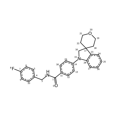 O=C(NCc1ccc(F)cc1)c1ccc(N2CC3(CCOCC3)c3ccccc32)cc1